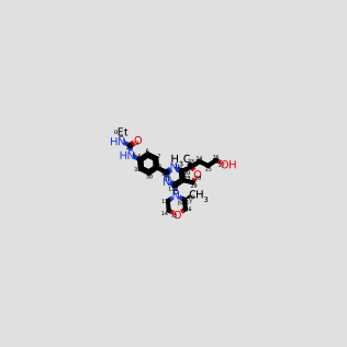 CCNC(=O)Nc1ccc(-c2nc(N3CCOC[C@@H]3C)c3c(n2)C(C)(CCCO)OC3)cc1